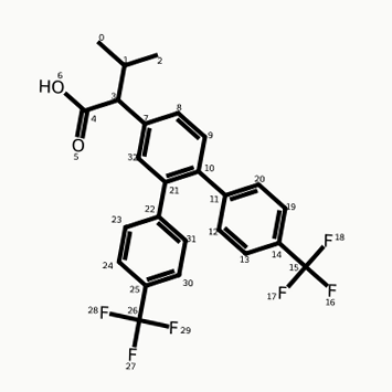 CC(C)C(C(=O)O)c1ccc(-c2ccc(C(F)(F)F)cc2)c(-c2ccc(C(F)(F)F)cc2)c1